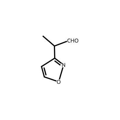 CC(C=O)c1ccon1